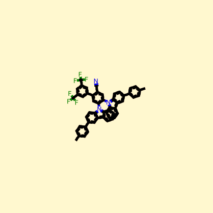 Cc1ccc(-c2ccc3c(c2)c2ccccc2n3-c2cc(C#N)c(-c3cc(C(F)(F)F)cc(C(F)(F)F)c3)cc2-n2c3ccccc3c3cc(-c4ccc(C)cc4)ccc32)cc1